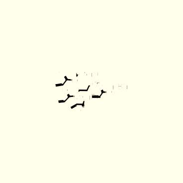 C=CC(=O)OCC(C)C.C=CC(=O)OCCC(C)C.C=CC(=O)OCCCC.C=CC(=O)OCCCCC